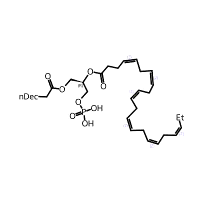 CC/C=C\C/C=C\C/C=C\C/C=C\C/C=C\C/C=C\CCC(=O)O[C@H](COC(=O)CCCCCCCCCCC)COP(=O)(O)O